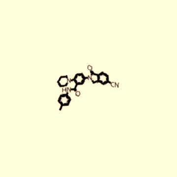 Cc1ccc(NC(=O)c2cc(N3Cc4cc(C#N)ccc4C3=O)ccc2N2CCCCC2)cc1